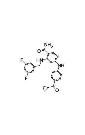 NC(=O)c1cnc(Nc2ccc(C(=O)C3CC3)cc2)cc1NCc1cc(F)cc(F)c1